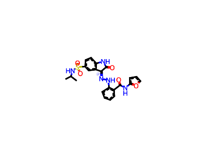 CC(C)NS(=O)(=O)c1ccc2c(c1)/C(=N/Nc1ccccc1C(=O)Nc1ccco1)C(=O)N2